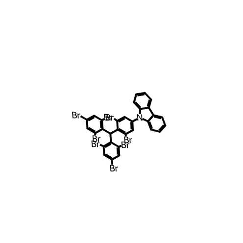 Brc1cc(Br)c(C(c2c(Br)cc(Br)cc2Br)c2c(Br)cc(-n3c4ccccc4c4ccccc43)cc2Br)c(Br)c1